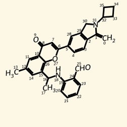 C=C1c2ccc(-c3cc(=O)c4cc(C)cc(C(C)Nc5ccccc5C=O)c4o3)cc2CN1C1CCC1